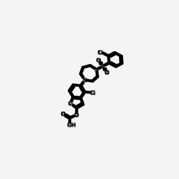 O=C(O)Oc1cc2c(Cl)c(N3CCCN(S(=O)(=O)c4ccccc4Cl)CC3)ccc2o1